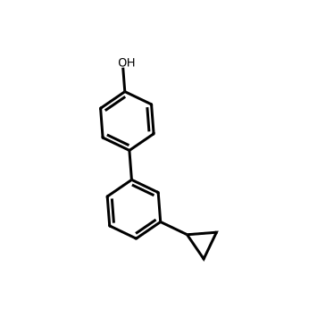 Oc1ccc(-c2cccc(C3CC3)c2)cc1